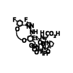 CCC(=O)N[C@@H](CC(=O)O)C(=O)N1CCC[C@H]1C(=O)N[C@H](C(=O)N=[S@@](C)(=O)Cc1cc2cc(c1)OCCCCOc1cc(F)ccc1-c1nc(ncc1F)N2)C(C)C